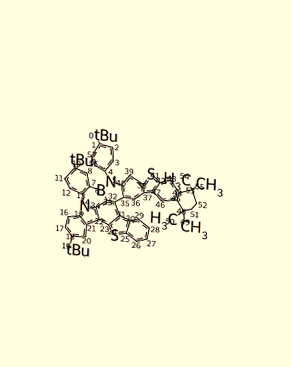 CC(C)(C)c1ccc(N2B3c4cc(C(C)(C)C)ccc4-n4c5ccc(C(C)(C)C)cc5c5c6sc7ccccc7c6c(c3c54)-c3cc4c(cc32)sc2cc3c(cc24)C(C)(C)CCC3(C)C)cc1